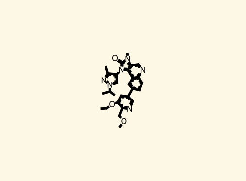 CCOc1cc(-c2ccc3ncc4c(c3c2)n(-c2cn(C(C)C)nc2C)c(=O)n4C)cnc1COC